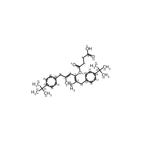 CC(=CC(OC(=O)CCC(=O)O)=C(C)Cc1ccc(C(C)(C)C)cc1)Cc1ccc(C(C)(C)C)cc1